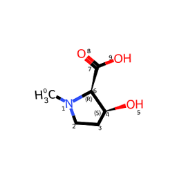 CN1CC[C@H](O)[C@@H]1C(=O)O